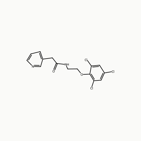 O=C(Cc1cccnc1)NCCOc1c(Cl)cc(Cl)cc1Cl